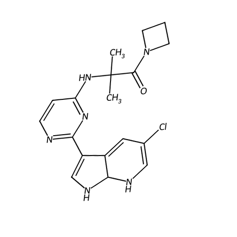 CC(C)(Nc1ccnc(C2=CNC3NC=C(Cl)C=C23)n1)C(=O)N1CCC1